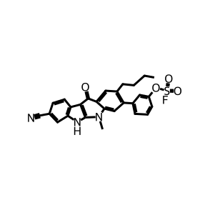 CCCCc1cc2c(=O)c3c4ccc(C#N)cc4[nH]c3n(C)c2cc1-c1cccc(OS(=O)(=O)F)c1